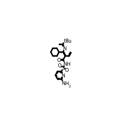 C=C/C(C(=O)NS(=O)(=O)c1cccc(N)n1)=C(\N=C(/C)C(C)(C)C)C1CCCCC1